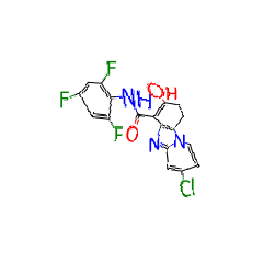 O=C(Nc1c(F)cc(F)cc1F)C1=C(O)CCc2c1nc1cc(Cl)ccn21